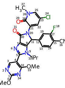 COc1ncc(-c2nc3c(n2C(C)C)C(c2ccc(C#N)c(F)c2)N(c2cc(Cl)cn(C)c2=O)C3=O)c(OC)n1